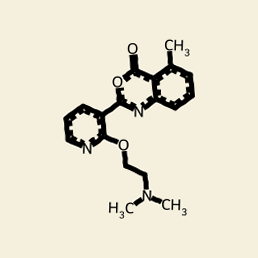 Cc1cccc2nc(-c3cccnc3OCCN(C)C)oc(=O)c12